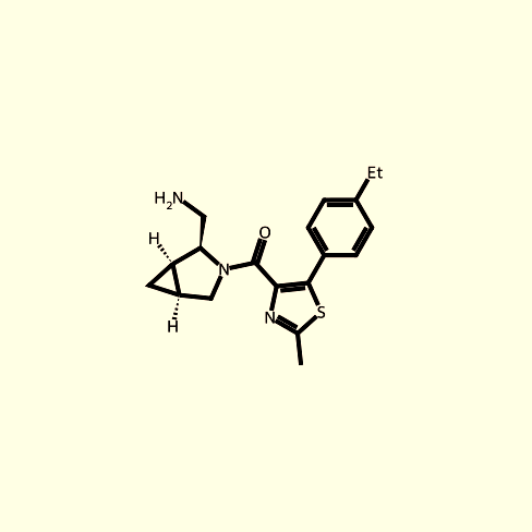 CCc1ccc(-c2sc(C)nc2C(=O)N2C[C@H]3C[C@H]3[C@H]2CN)cc1